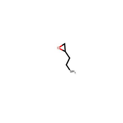 [SiH3]CCC1CO1